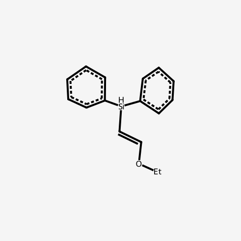 CCOC=C[SiH](c1ccccc1)c1ccccc1